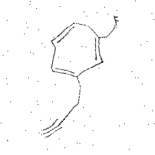 [C]#CCc1cccc(F)c1